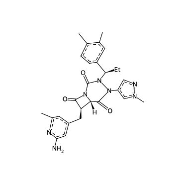 CC[C@H](c1ccc(C)c(C)c1)N1C(=O)N2C(=O)[C@H](Cc3cc(C)nc(N)c3)[C@H]2C(=O)N1c1cnn(C)c1